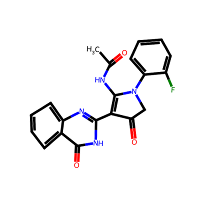 CC(=O)NC1=C(c2nc3ccccc3c(=O)[nH]2)C(=O)CN1c1ccccc1F